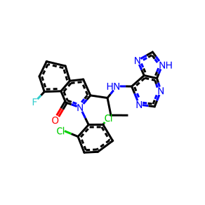 CCC(Nc1ncnc2[nH]cnc12)c1cc2cccc(F)c2c(=O)n1-c1c(Cl)cccc1Cl